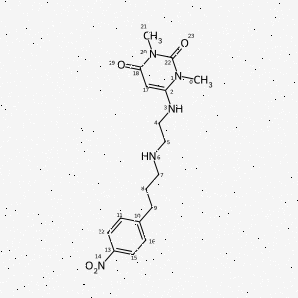 Cn1c(NCCNCCCc2ccc([N+](=O)[O-])cc2)cc(=O)n(C)c1=O